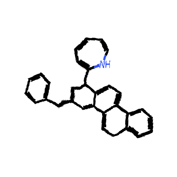 C1=CC=C(C2CC(Cc3ccccc3)C=c3c2ccc2c3=CCc3ccccc3-2)NC=C1